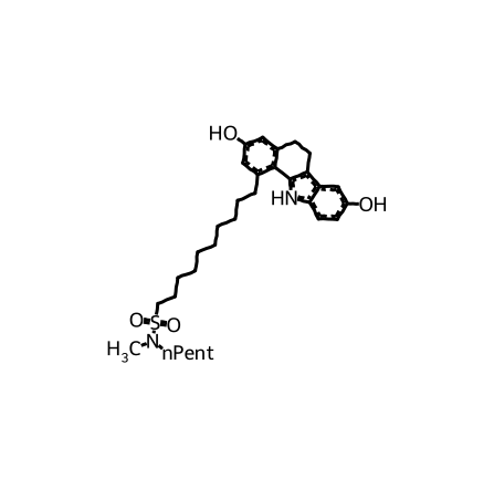 CCCCCN(C)S(=O)(=O)CCCCCCCCCCc1cc(O)cc2c1-c1[nH]c3ccc(O)cc3c1CC2